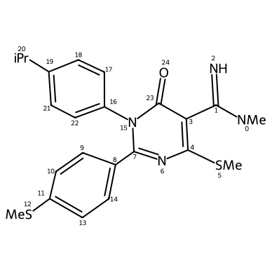 CNC(=N)c1c(SC)nc(-c2ccc(SC)cc2)n(-c2ccc(C(C)C)cc2)c1=O